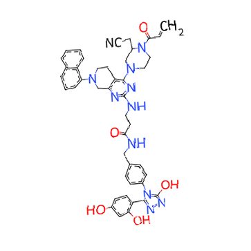 C=CC(=O)N1CCN(c2nc(NCCC(=O)NCc3ccc(-n4c(O)nnc4-c4ccc(O)cc4O)cc3)nc3c2CCN(c2cccc4ccccc24)C3)CC1CC#N